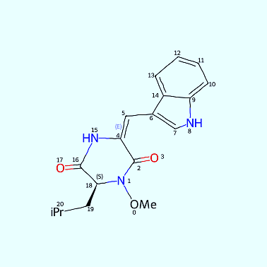 CON1C(=O)/C(=C\c2c[nH]c3ccccc23)NC(=O)[C@@H]1CC(C)C